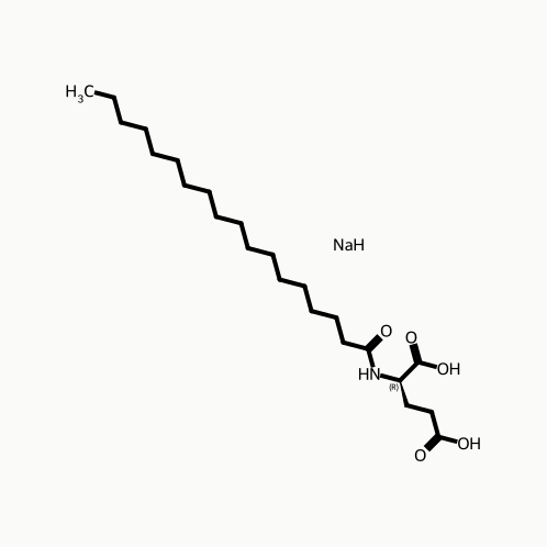 CCCCCCCCCCCCCCCCCC(=O)N[C@H](CCC(=O)O)C(=O)O.[NaH]